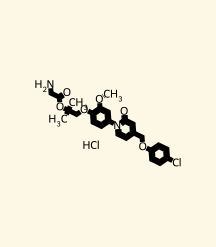 COc1cc(-n2ccc(COc3ccc(Cl)cc3)cc2=O)ccc1OCC(C)(C)OC(=O)CN.Cl